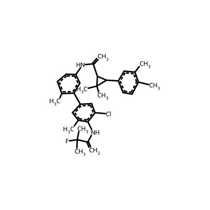 C=C(Nc1ccc(C)c(-c2cc(C)c(NC(=C)C(C)(C)F)c(Cl)c2)c1)C1C(c2ccc(C)c(C)c2)C1(C)C